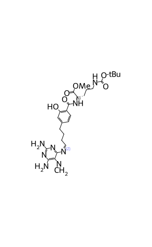 C=Nc1c(N)nc(N)nc1/N=C\CCCc1ccc(C(=O)N[C@@H](CCCNC(=O)OC(C)(C)C)C(=O)OC)c(O)c1